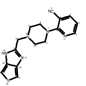 N#Cc1cccnc1N1CCN(Cc2nc3cscc3[nH]2)CC1